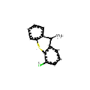 O=C(O)C1c2ccccc2Sc2c(Cl)cccc21